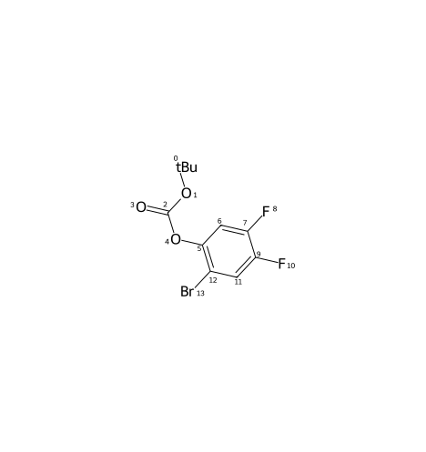 CC(C)(C)OC(=O)Oc1cc(F)c(F)cc1Br